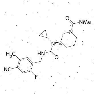 CNC(=O)N1CCC[C@@H](N(C(=O)NCc2cc(C)c(C#N)cc2F)C2CC2)C1